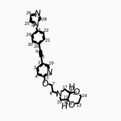 C(#Cc1ccc(OCCN2C[C@@H]3OCCO[C@@H]3C2)nc1)c1ccc(-n2ccnc2)cc1